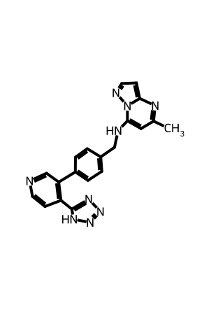 Cc1cc(NCc2ccc(-c3cnccc3-c3nnn[nH]3)cc2)n2nccc2n1